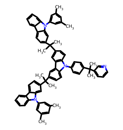 Cc1cc(C)cc(-n2c3ccccc3c3ccc(C(C)(C)c4ccc5c(c4)c4cc(C(C)(C)c6ccc7c8ccccc8n(-c8cc(C)cc(C)c8)c7c6)ccc4n5-c4ccc(C(C)(C)c5cccnc5)cc4)cc32)c1